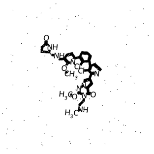 CNCCn1c(OC)nn2cc(-c3nccc(-c4cccc(-c5ccc(CNC[C@@H]6CCC(=O)N6)c(OC)n5)c4Cl)c3Cl)cc2c1=O